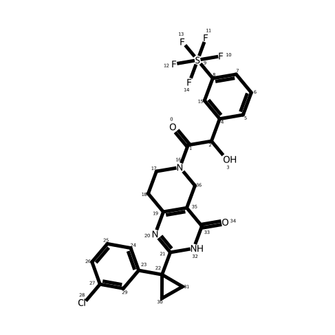 O=C(C(O)c1cccc(S(F)(F)(F)(F)F)c1)N1CCc2nc(C3(c4cccc(Cl)c4)CC3)[nH]c(=O)c2C1